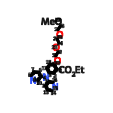 CCOC(=O)c1cc(N(c2cccnc2)c2cccnc2)ccc1OCCOCCOCCOC